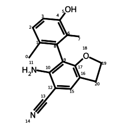 Cc1ccc(O)c(C)c1-c1c(N)c(C#N)cc2c1OCC2